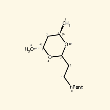 CCCCCCCC1O[C@H](C)C[C@@H](C)O1